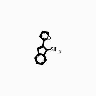 [SiH3]C1C(c2ccco2)=Cc2ccccc21